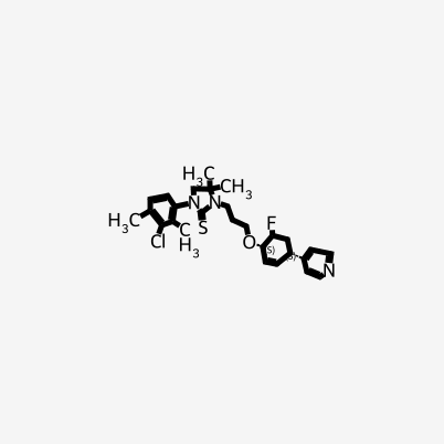 Cc1ccc(N2CC(C)(C)N(CCCO[C@H]3C=C[C@@H](c4ccncc4)CC3F)C2=S)c(C)c1Cl